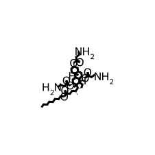 CCCCCCCCOC(=O)CC[C@@H](C)[C@H]1CC[C@H]2C3[C@H](OC(=O)CCN)CC4C[C@H](OC(=O)CCN)CCC4(C)[C@H]3C[C@H](OC(=O)CCN)C12C